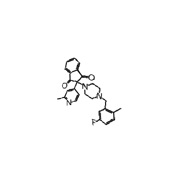 Cc1cc(C2(N3CCN(Cc4cc(F)ccc4C)CC3)C(=O)c3ccccc3C2=O)ccn1